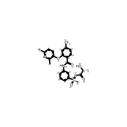 Cc1nc(F)ccc1Oc1cc(C(F)(F)F)ccc1C(=O)Nc1cccc([S@@](C)(=O)=NC(=O)[C@@H](C)O)c1